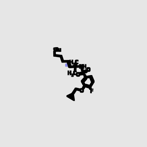 CC(C)(C)CCC/C=C/C(C)(C)NS(=O)(=O)c1ccc(F)c(OCC2CC2)c1